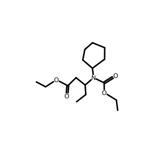 CCOC(=O)CC(CC)N(C(=O)OCC)C1CCCCC1